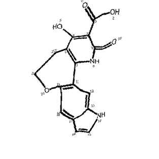 O=C(O)c1c(O)c2c([nH]c1=O)-c1cc3[nH]ccc3cc1OCC2